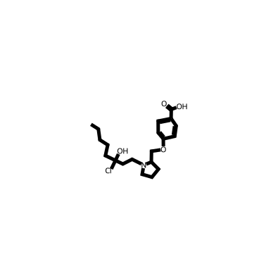 CCCCCC(O)(Cl)CCN1CCCC1COc1ccc(C(=O)O)cc1